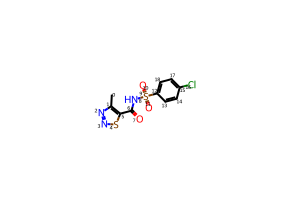 Cc1nnsc1C(=O)NS(=O)(=O)c1ccc(Cl)cc1